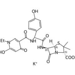 CCn1cc(C(=O)NC(C(=O)N[C@@H]2C(=O)N3[C@@H]2SC(C)(C)[C@@H]3C(=O)[O-])c2ccc(O)cc2)c(=O)cc1O.[K+]